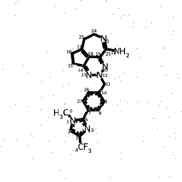 Cn1cc(C(F)(F)F)nc1-c1ccc(CN2N=C3CCC4=C3C(=N2)C(N)=NCC4)cc1